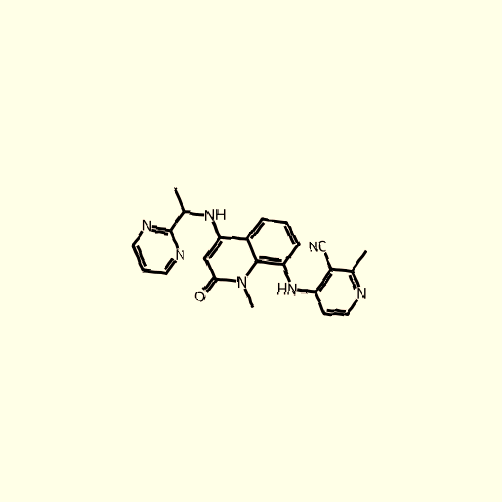 Cc1nccc(Nc2cccc3c(NC(C)c4ncccn4)cc(=O)n(C)c23)c1C#N